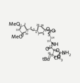 COc1cc(C=Cc2ccc(OC(=O)SCCNC(=O)C(OC(N)=O)C(C)CC(C)(C)C)cc2)cc(OC)c1